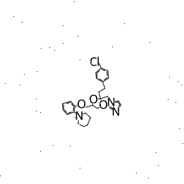 Clc1ccc(CCC2(Cn3ccnc3)OCC(COc3ccccc3N3CCCCC3)O2)cc1